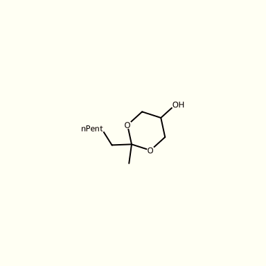 CCCCCCC1(C)OCC(O)CO1